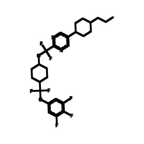 CCCC1CCC(c2cnc(C(F)(F)OC3CCC(C(F)(F)Oc4cc(F)c(F)c(F)c4)CC3)nc2)CC1